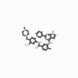 Cc1ccc(C(=O)Nc2ccc(CN3CCN(C)CC3)c(C(F)(F)F)c2)cc1Nc1nc(-c2cccnc2)nc2[nH]ccc12